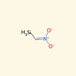 [O-][N+]([O-])=C[SiH3]